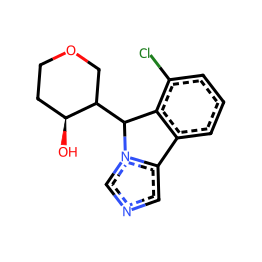 O[C@H]1CCOCC1C1c2c(Cl)cccc2-c2cncn21